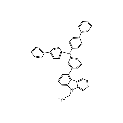 CCn1c2ccccc2c2c(-c3cccc(N(c4ccc(-c5ccccc5)cc4)c4ccc(-c5ccccc5)cc4)c3)cccc21